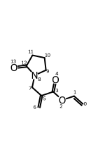 C=COC(=O)C(=C)CN1CCCC1=O